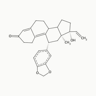 C=C[C@]1(O)CCC2C3CCC4=CC(=O)CCC4=C3[C@@H](c3ccc4c(c3)OCO4)C[C@@]21C